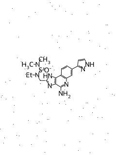 CCN(Cc1nc2c(N)nc3cc(-c4cc[nH]n4)ccc3c2[nH]1)[S+]([O-])N(C)C